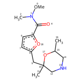 CON(C)C(=O)c1ccc(CC2(C)CNCC(C)O2)o1